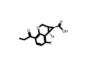 CCC(=O)c1ccc(F)c2c1OCC1[C@@H](C(=O)O)[C@@H]21